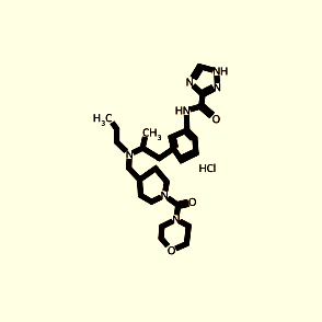 CCCN(CC1CCN(C(=O)N2CCOCC2)CC1)C(C)Cc1cccc(NC(=O)c2nc[nH]n2)c1.Cl